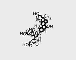 CC(CCC(=O)O)[C@H]1CCC2C3C(C[C@H](O)[C@@]21C)[C@@]1(C)CC[C@H](NC(=O)CN(CCN(CC(=O)O)CC(=O)O)CCN(CC(=O)O)CC(=O)O)C[C@H]1C[C@H]3O